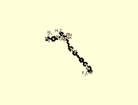 Cc1ncsc1-c1ccc(CNC(=O)[C@@H]2CC(C)CN2C(=O)[C@@H](NC(=O)CCCCN2CCN(c3ccc(C#Cc4ccc(C5CCN(C6=Nn7c(nnc7C(F)(F)F)CC6)CC5)cc4)cn3)CC2)C(C)(C)C)cc1